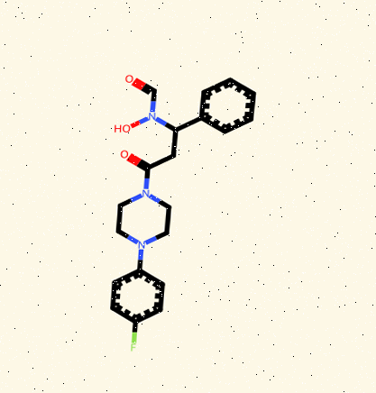 O=CN(O)C(CC(=O)N1CCN(c2ccc(F)cc2)CC1)c1ccccc1